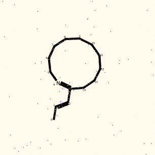 C/C=C/C1=N/CCCCCCCCCC1